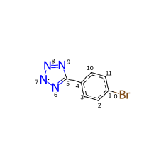 Brc1ccc(C2=N[N]N=N2)cc1